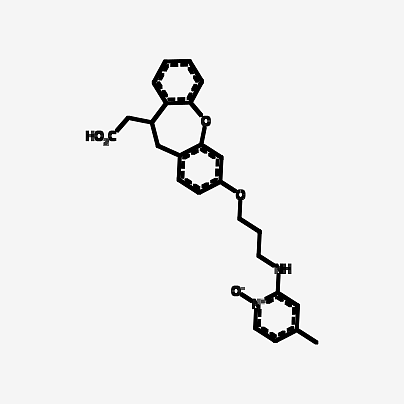 Cc1cc[n+]([O-])c(NCCCOc2ccc3c(c2)Oc2ccccc2C(CC(=O)O)C3)c1